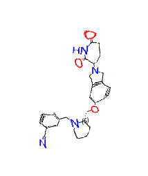 N#Cc1cccc(CN2CCCC[C@H]2COc2ccc3c(c2)CN(C2CCC(=O)NC2=O)C3)c1